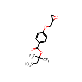 O=C(OC(CS(=O)(=O)O)(C(F)(F)F)C(F)(F)F)c1ccc(OCC2CO2)cc1